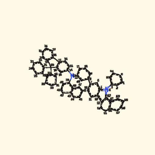 c1ccc(-n2c3cc(-c4cccc(N(c5ccc6c(c5)C(c5ccccc5)(c5ccccc5)c5ccccc5-6)c5cccc6ccccc56)c4)ccc3c3ccc4ccccc4c32)cc1